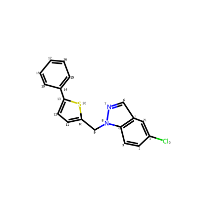 Clc1ccc2c(cnn2Cc2ccc(-c3ccccc3)s2)c1